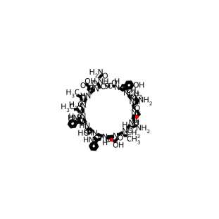 CCCC[C@H]1C(=O)N(C)[C@@H](CCCC)C(=O)N[C@@H](CCC(=O)O)C(=O)NC(C(=O)NCC(N)=O)CSCC(=O)N[C@@H](Cc2ccc(O)cc2)C(=O)N(C)[C@@H](C)C(=O)N[C@@H](CC(N)=O)C(=O)N2CCC[C@H]2C(=O)N[C@@H](CC(N)=O)C(=O)N[C@@H](CC(C)C)C(=O)N2C[C@H](O)C[C@H]2C(=O)N[C@@H](Cc2c[nH]c3ccccc23)C(=O)N[C@@H](CO)C(=O)N[C@@H](Cc2c[nH]c3ccccc23)C(=O)N1C